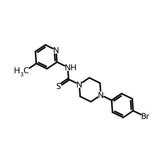 Cc1ccnc(NC(=S)N2CCN(c3ccc(Br)cc3)CC2)c1